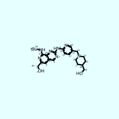 C[C@@H](O)c1cc2cnc(Nc3ccc(CN4CCC(CO)CC4)cn3)nc2c(NC(C)(C)C)n1